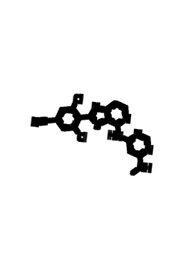 CNc1cc(Nc2nccc3nc(-c4c(Cl)cc(C#N)cc4Cl)sc23)ncn1